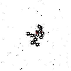 c1ccc(-c2ccc(N(c3ccc4c(c3)-c3ccccc3-c3ccccc3C43c4ccccc4-c4c3ccc3oc5ccccc5c43)c3ccc4c(c3)c3ccccc3n4-c3ccccc3)cc2)cc1